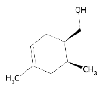 CC1=CC[C@@H](CO)[C@@H](C)C1